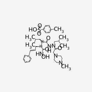 CC(C)C[C@@H](C(=O)NN(CC(C)C)C(=O)CN1CCN(C)CC1)[C@H](CC=Cc1ccccc1)C(=O)NO.Cc1ccc(S(=O)(=O)O)cc1